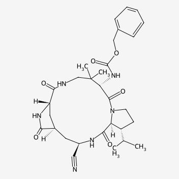 CC(C)[C@H]1CCN2C(=O)[C@@H](NC(=O)OCc3ccccc3)C(C)(C)CNC(=O)[C@@H]3C[C@@H](C[C@H](C#N)NC(=O)[C@H]12)C(=O)N3